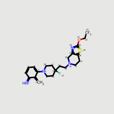 C=C1C(=N)C=CC=C1N1CCC(F)(CCN2CCc3sc(OCC(F)(F)F)nc3C2)CC1